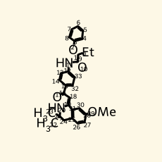 CCC(Oc1ccccc1)C(=O)Nc1ccc(C(=O)C=C2NC(C)(C)Cc3ccc(OC)cc32)cc1